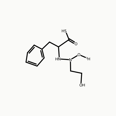 [3H]ON(CCO)NC(Cc1ccccc1)C(=O)S